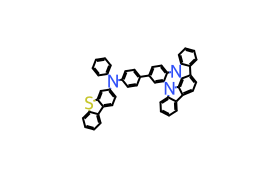 c1ccc(N(c2ccc(-c3ccc4c(c3)n3c5ccccc5c5ccc6c7ccccc7n4c6c53)cc2)c2ccc3c(c2)sc2ccccc23)cc1